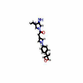 C/C=C1\CN(C(=O)CC2CN(c3ccc(C4(C)COC4)cc3)C2)CC1=N